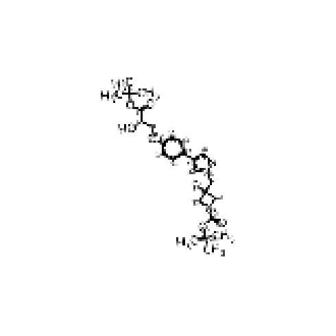 CC(C)(C)OC(=O)[C@H](O)COc1ccc(-c2cnn(CC3(F)CN(C(=O)OC(C)(C)C)C3)c2)cc1